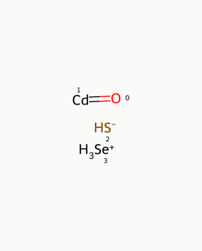 [O]=[Cd].[SH-].[SeH3+]